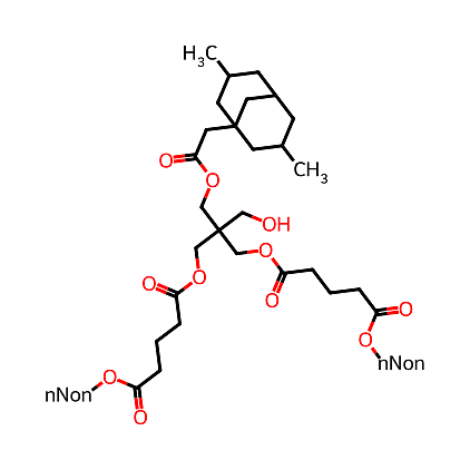 CCCCCCCCCOC(=O)CCCC(=O)OCC(CO)(COC(=O)CCCC(=O)OCCCCCCCCC)COC(=O)CC12CC(C)CC(CC(C)C1)C2